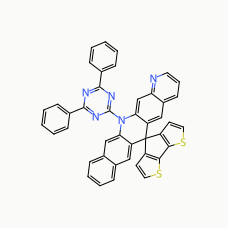 c1ccc(-c2nc(-c3ccccc3)nc(N3c4cc5ccccc5cc4C4(c5cc6cccnc6cc53)c3ccsc3-c3sccc34)n2)cc1